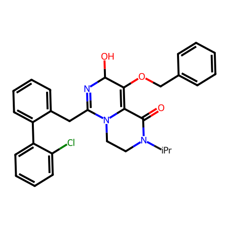 CC(C)N1CCN2C(Cc3ccccc3-c3ccccc3Cl)=NC(O)C(OCc3ccccc3)=C2C1=O